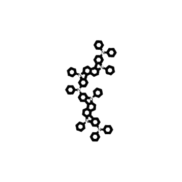 c1ccc(N(c2ccccc2)c2ccc3c4c5ccc6c(c5ccc4n(-c4ccccc4)c3c2)c2ccc(N(c3ccccc3)c3ccc4c5c7ccc8c(c7ccc5n(-c5ccccc5)c4c3)c3ccc(N(c4ccccc4)c4ccccc4)cc3n8-c3ccccc3)cc2n6-c2ccccc2)cc1